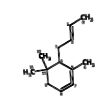 CC=CCC1C(C)=C=CCC1(C)C